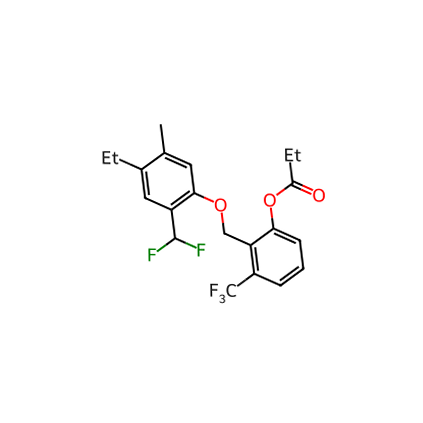 CCC(=O)Oc1cccc(C(F)(F)F)c1COc1cc(C)c(CC)cc1C(F)F